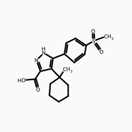 CC1(c2c(C(=O)O)n[nH]c2-c2ccc(S(C)(=O)=O)cc2)CCCCC1